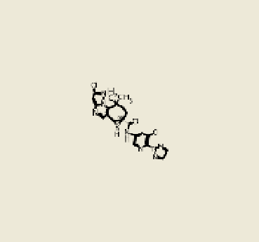 CC1(C)CC[C@@]2(C(=O)Nc3cnc(-n4nccn4)c(Cl)c3)BC2c2cnc3cc(Cl)nn3c21